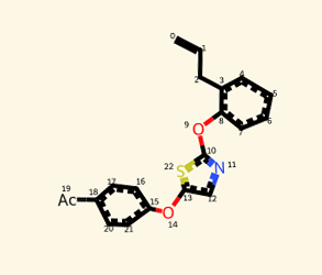 C=CCc1ccccc1Oc1ncc(Oc2ccc(C(C)=O)cc2)s1